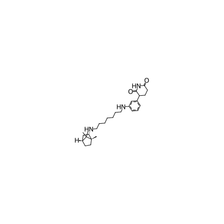 CC1(C)[C@@H]2CC[C@@]1(C)[C@@H](NCCCCCCCNc1cccc(C3CCC(=O)NC3=O)c1)C2